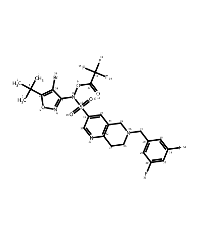 CC(C)(C)c1onc(N(OC(=O)C(F)(F)F)S(=O)(=O)c2cnc3c(c2)CN(Cc2cc(F)cc(F)c2)CC3)c1Br